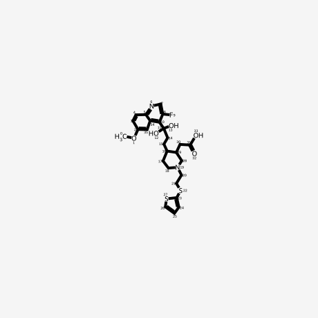 COc1ccc2ncc(F)c(C(O)(O)CCC3CCN(CCSc4cccs4)CC3CC(=O)O)c2c1